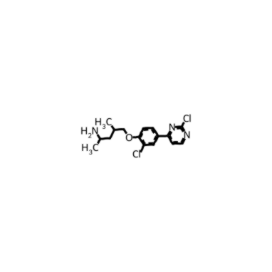 CC(N)CC(C)COc1ccc(-c2ccnc(Cl)n2)cc1Cl